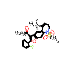 CNC(=O)c1c(-c2ccccc2F)oc2cc3c(cc12)C(C)=CCCN3S(C)(=O)=O